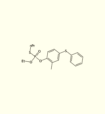 CCCSP(=O)(OCC)Oc1ccc(Sc2ccccc2)cc1C